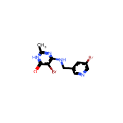 Cc1nc(NCc2cncc(Br)c2)c(Br)c(=O)[nH]1